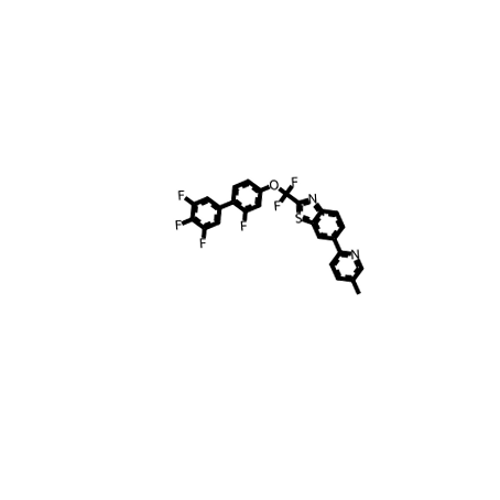 Cc1ccc(-c2ccc3nc(C(F)(F)Oc4ccc(-c5cc(F)c(F)c(F)c5)c(F)c4)sc3c2)nc1